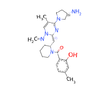 C=NN1C=C(C)C(N2CC[C@H](N)C2)=N/C1=C/C1CCCCN1C(=O)c1ccc(C)cc1O